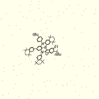 CCCCC(C)(C)c1cc2oc3c(c2cc1CC)B1c2cc4c(cc2N(c2ccc(C(C)(C)C)cc2)c2cc(-c5ccc6c(c5)C(C)(C)CCC6(C)C)cc(c21)N3c1ccc2c(c1)C(C)(C)CCC2(C)C)C(C)(C)CCC4(C)C